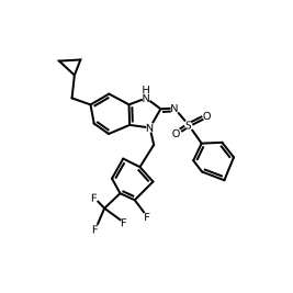 O=S(=O)(N=c1[nH]c2cc(CC3CC3)ccc2n1Cc1ccc(C(F)(F)F)c(F)c1)c1ccccc1